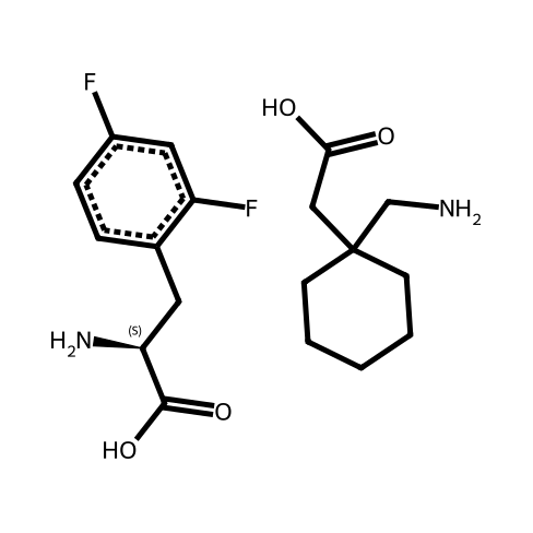 NCC1(CC(=O)O)CCCCC1.N[C@@H](Cc1ccc(F)cc1F)C(=O)O